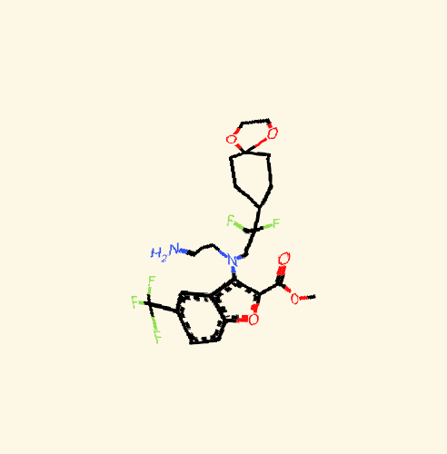 COC(=O)c1oc2ccc(C(F)(F)F)cc2c1N(CCN)CC(F)(F)C1CCC2(CC1)OCCO2